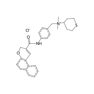 C[N+](C)(Cc1ccc(NC(=O)C2=Cc3c(ccc4ccccc34)OC2)cc1)C1CCSCC1.[Cl-]